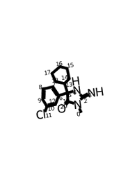 CN1C(=N)NC(c2cccc(Cl)c2)(C2CCCCC2)C1=O